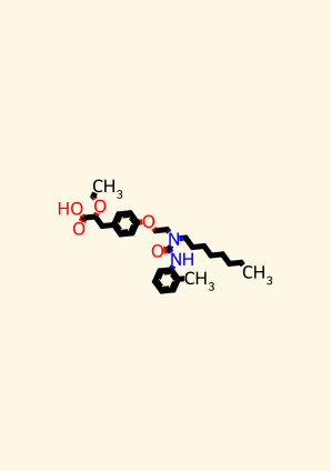 CCCCCCCCN(CCOc1ccc(CC(OCC)C(=O)O)cc1)C(=O)Nc1ccccc1C